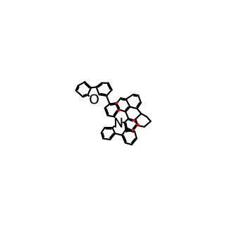 c1ccc(-c2ccccc2N(c2ccc(-c3cccc4c3oc3ccccc34)cc2)c2ccccc2-c2cccc3cccc(C4CCCCC4)c23)cc1